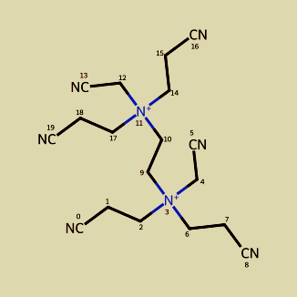 N#CCC[N+](CC#N)(CCC#N)CC[N+](CC#N)(CCC#N)CCC#N